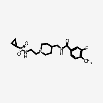 O=C(NCC1CCN(CCNS(=O)(=O)C2CC2)CC1)c1ccc(C(F)(F)F)c(F)c1